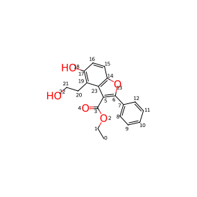 CCOC(=O)c1c(-c2ccccc2)oc2ccc(O)c(CCO)c12